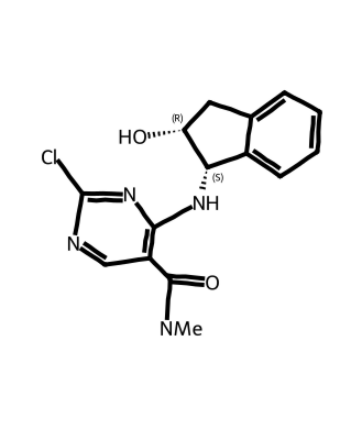 CNC(=O)c1cnc(Cl)nc1N[C@H]1c2ccccc2C[C@H]1O